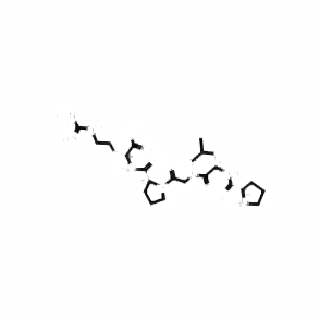 CC(C)C[C@H](NC(=O)[C@@H]1CCCN1)C(=O)NCC(=O)N1CCC[C@H]1C(=O)N[C@H](CCCNC(=N)N)C(=O)O